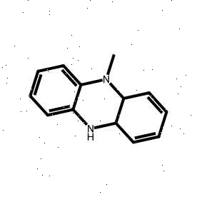 CN1c2ccccc2NC2C=CC=CC21